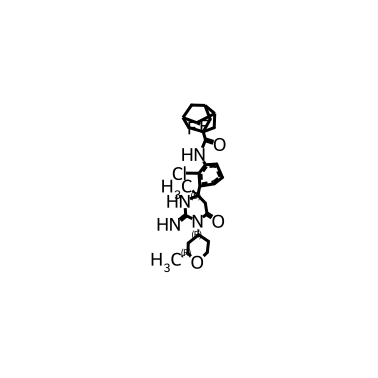 C[C@@H]1C[C@H](N2C(=N)N[C@](C)(c3cccc(NC(=O)C45CC6CC(C4)C(F)(F)C6C5)c3Cl)CC2=O)CCO1